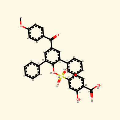 COc1ccc(C(=O)c2cc(-c3ccccc3)c(OS(=O)(=O)c3ccc(C(=O)O)c(O)c3)c(-c3ccccc3)c2)cc1